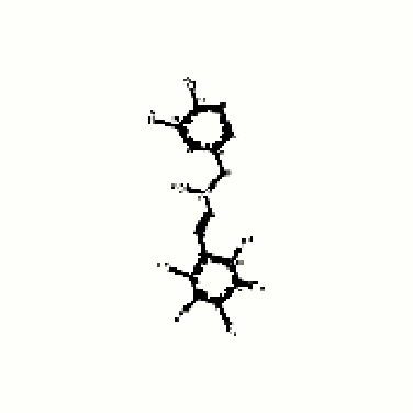 [O-][S+](/C=C/c1c(F)c(F)c(F)c(F)c1F)Cc1ccc(Cl)c(Cl)c1